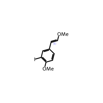 CO/C=C/c1ccc(OC)c(I)c1